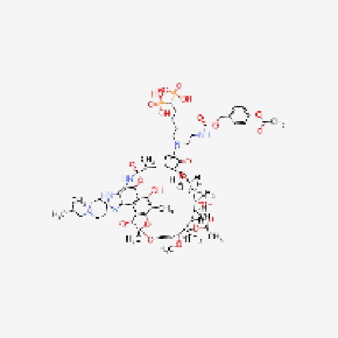 CO[C@H]1/C=C/O[C@@]2(C)Oc3c(C)c(O)c4c(c3C2=O)C2=NC3(CCN(CC(C)C)CC3)NC2=C(NC(=O)/C(C)=C\C(C)C2(C(=O)CN(CCCCC(P(=O)(O)O)P(=O)(O)O)CCNC(=O)OCc3ccc(OC(C)=O)cc3)O[C@H]([C@@H](C)[C@@H](O)[C@@H](C)[C@H](OC(C)=O)[C@@H]1C)[C@H]2C)C4=O